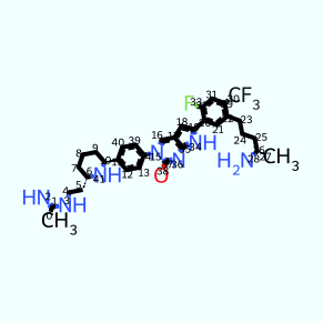 CC(=N)NCC[C@@H]1CCC[C@@H](c2ccc(-n3cc4cc(-c5cc(CCC[C@H](C)N)c(C(F)(F)F)cc5F)[nH]c4nc3=O)cc2)N1